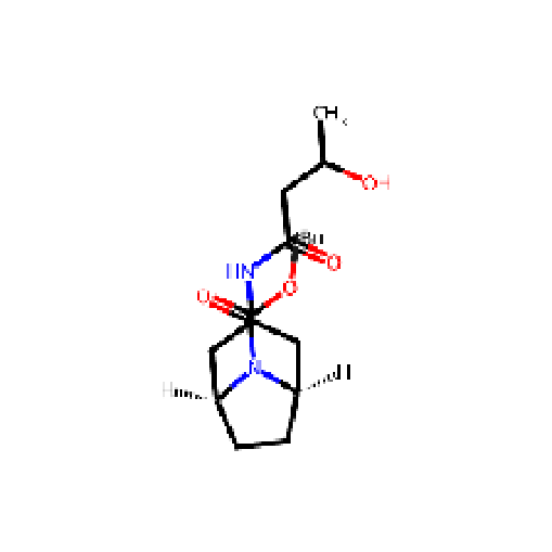 CC(O)CC(=O)NC1C[C@H]2CC[C@@H](C1)N2C(=O)OC(C)(C)C